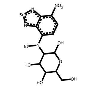 CCN(c1ccc([N+](=O)[O-])c2n[se]nc12)C1C(O)OC(CO)C(O)C1O